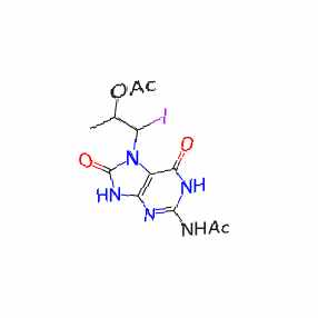 CC(=O)Nc1nc2[nH]c(=O)n(C(I)C(C)OC(C)=O)c2c(=O)[nH]1